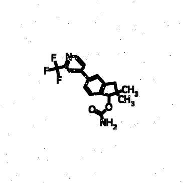 CC1(C)Cc2cc(-c3ccnc(C(F)(F)F)c3)ccc2C1OC(N)=O